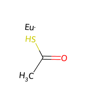 CC(=O)S.[Eu]